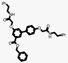 CC(C)CCNC(=O)COc1ccc(-c2cc(OCC(=O)NCCC(C)C)cc(C(=O)OCc3ccccc3)c2)cc1